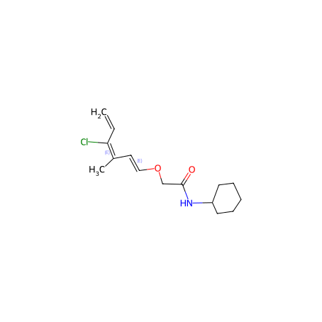 C=C/C(Cl)=C(C)\C=C\OCC(=O)NC1CCCCC1